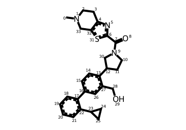 CN1CCc2nc(C(=O)N3CCC(c4ccc(-c5ccccc5C5CC5)cc4CO)C3)sc2C1